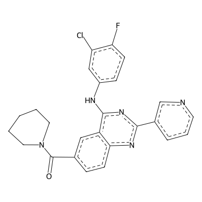 O=C(c1ccc2nc(-c3cccnc3)nc(Nc3ccc(F)c(Cl)c3)c2c1)N1CCCCC1